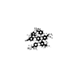 CC(C)(C)c1ccc(N2c3ccc(C(C)(C)C)cc3B3c4ccc(C(C)(C)C)cc4N(c4cccc(C(C)(C)C)c4)c4cc(N5c6ccc(C#N)cc6C6(C)CCCC56C)cc2c43)cc1